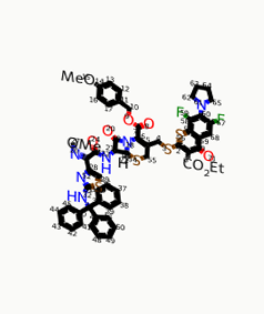 CCOC(=O)c1c(SCC2=C(C(=O)OCc3ccc(OC)cc3)N3C(=O)C(NC(=O)/C(=N\OC)c4csc(NC(c5ccccc5)(c5ccccc5)c5ccccc5)n4)[C@@H]3SC2)sc2c(F)c(N3CCCC3)c(F)cc2c1=O